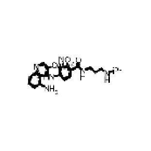 COc1cnc2cccc(N)c2c1Nc1ccc(C(=O)NCCCNC(C)C)c([N+](=O)[O-])c1